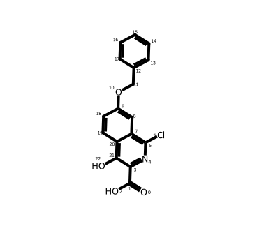 O=C(O)c1nc(Cl)c2cc(OCc3ccccc3)ccc2c1O